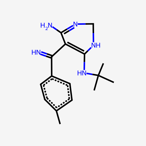 Cc1ccc(C(=N)C2=C(NC(C)(C)C)NCN=C2N)cc1